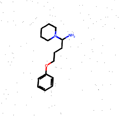 NC(CCCOc1ccccc1)N1CCCCC1